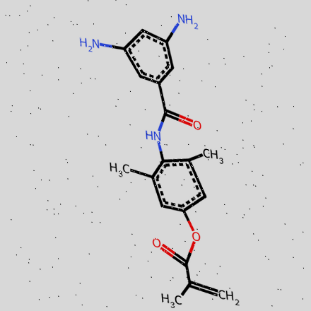 C=C(C)C(=O)Oc1cc(C)c(NC(=O)c2cc(N)cc(N)c2)c(C)c1